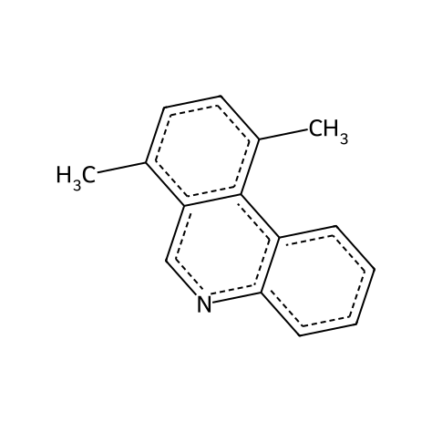 Cc1ccc(C)c2c1cnc1ccccc12